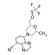 CC1CN(c2ccc(C#N)c3nccnc23)CC(COSC(F)(F)F)O1